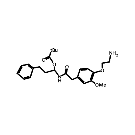 COc1cc(CC(=O)NC(CCc2ccccc2)OC(=O)C(C)(C)C)ccc1OCCN